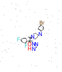 C[C@@H](N1CCC(N(C)c2ccc(Br)cc2)CC1)[C@](O)(Cn1cncn1)c1ccc(F)cc1F